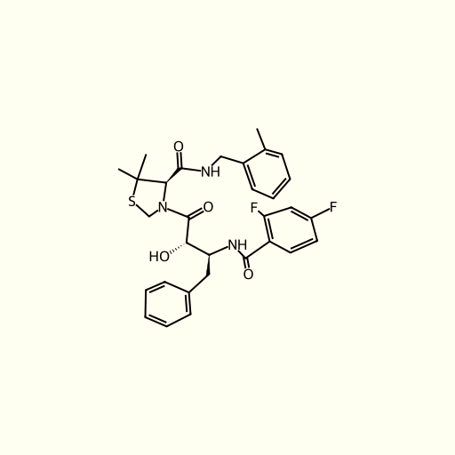 Cc1ccccc1CNC(=O)[C@H]1N(C(=O)[C@@H](O)[C@H](Cc2ccccc2)NC(=O)c2ccc(F)cc2F)CSC1(C)C